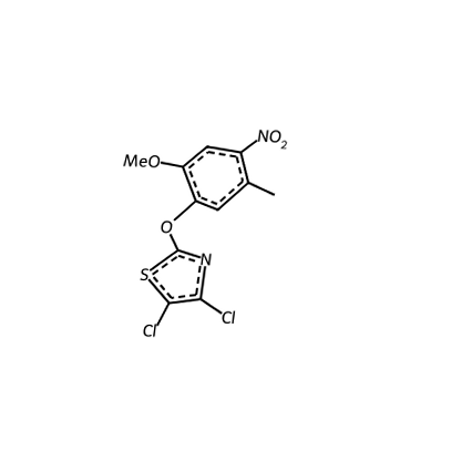 COc1cc([N+](=O)[O-])c(C)cc1Oc1nc(Cl)c(Cl)s1